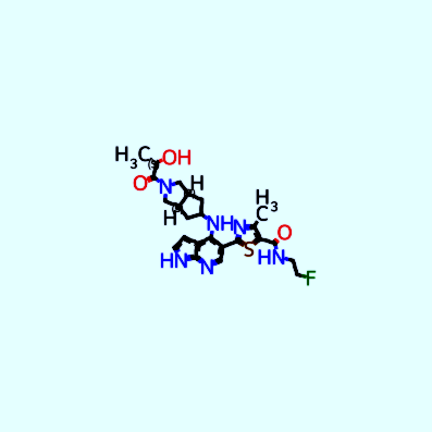 Cc1nc(-c2cnc3[nH]ccc3c2NC2C[C@@H]3CN(C(=O)[C@H](C)O)C[C@@H]3C2)sc1C(=O)NCCF